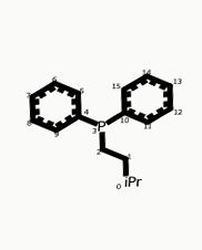 CC(C)CCP(c1ccccc1)c1ccccc1